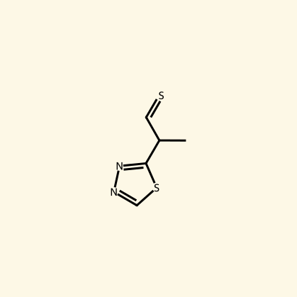 CC(C=S)c1nncs1